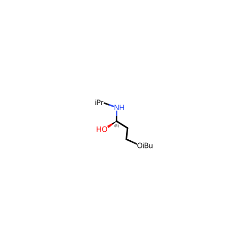 CC(C)COCC[C@@H](O)NC(C)C